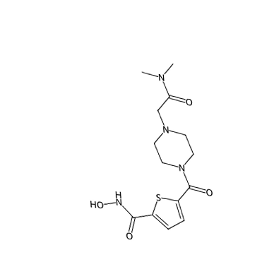 CN(C)C(=O)CN1CCN(C(=O)c2ccc(C(=O)NO)s2)CC1